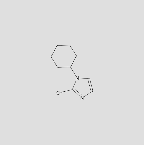 Clc1nccn1C1CCCCC1